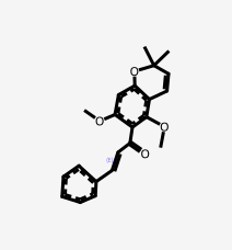 COc1cc2c(c(OC)c1C(=O)/C=C/c1ccccc1)C=CC(C)(C)O2